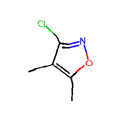 Cc1onc(Cl)c1C